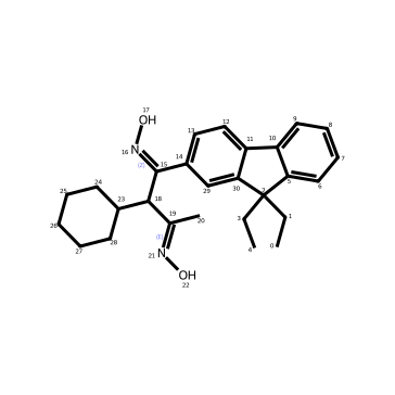 CCC1(CC)c2ccccc2-c2ccc(/C(=N\O)C(/C(C)=N/O)C3CCCCC3)cc21